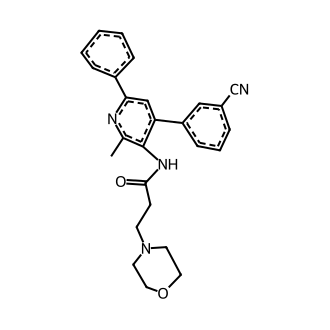 Cc1nc(-c2ccccc2)cc(-c2cccc(C#N)c2)c1NC(=O)CCN1CCOCC1